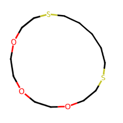 C1CCSCCOCCOCCOCCSCC1